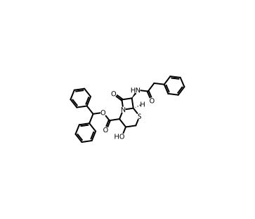 O=C(Cc1ccccc1)N[C@@H]1C(=O)N2C(C(=O)OC(c3ccccc3)c3ccccc3)C(O)CS[C@H]12